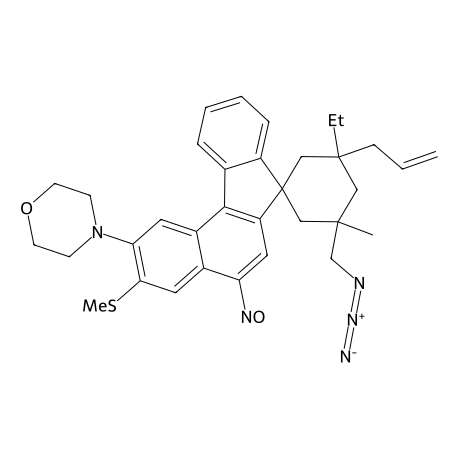 C=CCC1(CC)CC(C)(CN=[N+]=[N-])CC2(C1)c1ccccc1-c1c2cc(N=O)c2cc(SC)c(N3CCOCC3)cc12